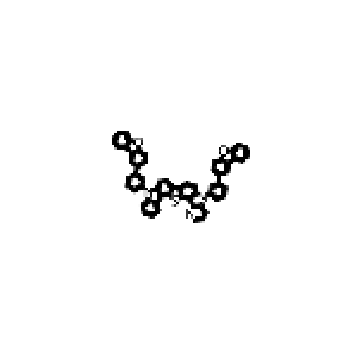 c1cc(-c2ccc3oc4ccccc4c3c2)cc(-n2c3ccccc3c3c4sc5c(ccc6c5c5ncccc5n6-c5cccc(-c6ccc7oc8ccccc8c7c6)c5)c4ccc32)c1